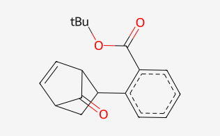 CC(C)(C)OC(=O)c1ccccc1C1CC2C=CC1C2=O